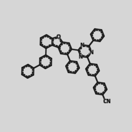 N#Cc1ccc(-c2ccc(-c3nc(-c4ccccc4)nc(-c4cc5oc6cccc(-c7cccc(-c8ccccc8)c7)c6c5cc4-c4ccccc4)n3)cc2)cc1